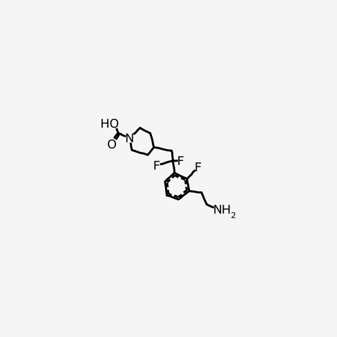 NCCc1cccc(C(F)(F)CC2CCN(C(=O)O)CC2)c1F